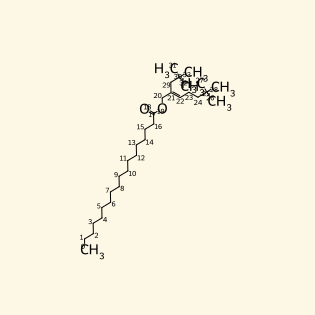 CCCCCCCCCCCCCCCCCC(=O)OCC(=CCCC(C)(C)C)CC(C)(C)C